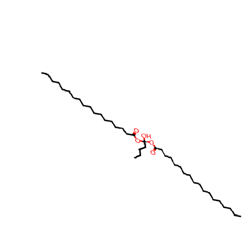 CCCCCCCCCCCCCCCCCC(=O)OC(O)(CCCC)OC(=O)CCCCCCCCCCCCCCCCC